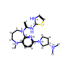 C=C(NC1NC=CS1)N1CCCN(C)c2ccc(N3CC[C@H](N(C)C)C3)nc21